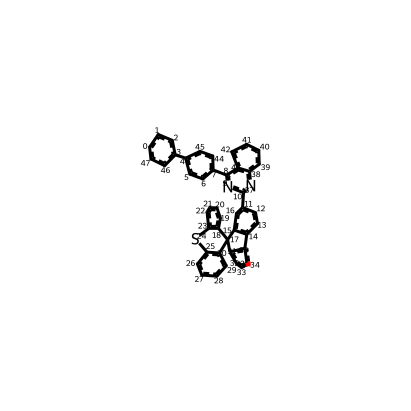 c1ccc(-c2ccc(-c3nc(-c4ccc5c(c4)C4(c6ccccc6Sc6ccccc64)c4ccccc4-5)nc4ccccc34)cc2)cc1